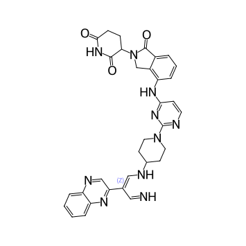 N=C/C(=C\NC1CCN(c2nccc(Nc3cccc4c3CN(C3CCC(=O)NC3=O)C4=O)n2)CC1)c1cnc2ccccc2n1